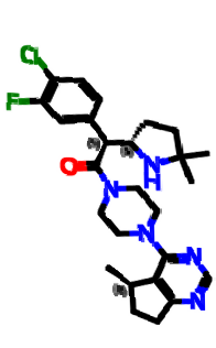 C[C@@H]1CCc2ncnc(N3CCN(C(=O)[C@@H](c4ccc(Cl)c(F)c4)[C@@H]4CCC(C)(C)N4)CC3)c21